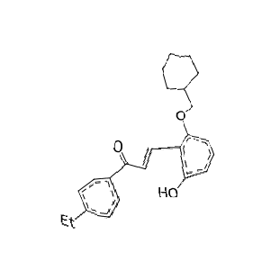 CCc1ccc(C(=O)/C=C/c2c(O)cccc2OCC2CCCCC2)cc1